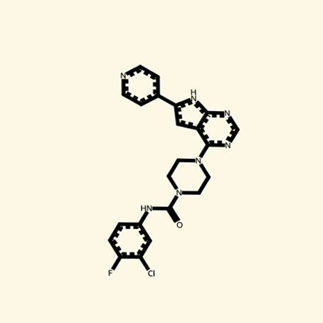 O=C(Nc1ccc(F)c(Cl)c1)N1CCN(c2ncnc3[nH]c(-c4ccncc4)cc23)CC1